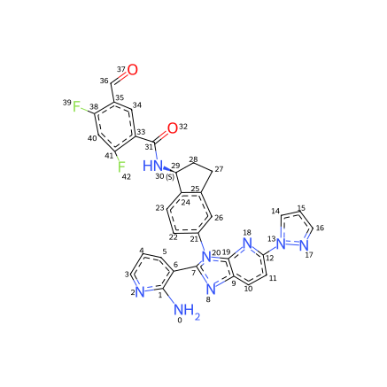 Nc1ncccc1-c1nc2ccc(-n3cccn3)nc2n1-c1ccc2c(c1)CC[C@@H]2NC(=O)c1cc(C=O)c(F)cc1F